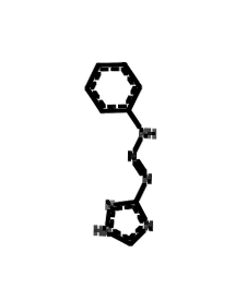 c1ccc(NN=Nc2nc[nH]n2)cc1